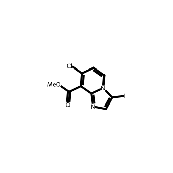 COC(=O)c1c(Cl)ccn2c(I)cnc12